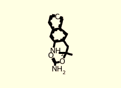 CC(C)(Cc1cc2ccccc2cc1N)OC(N)=O